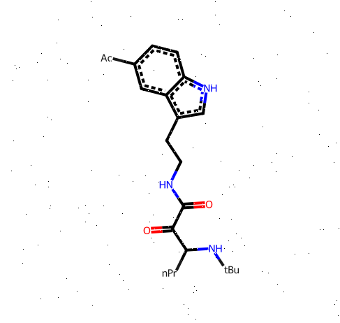 CCCC(NC(C)(C)C)C(=O)C(=O)NCCc1c[nH]c2ccc(C(C)=O)cc12